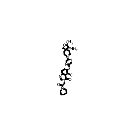 C[C@@H]1OCC2(CCN(c3cnc(Sc4ccc5ncn(CC(=O)N6CCCCC6)c(=O)c5c4Cl)cn3)CC2)[C@@H]1N